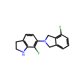 Fc1cccc2c1CN(c1ccc3c(c1F)NCC3)C2